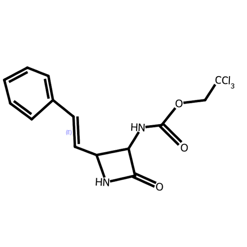 O=C(NC1C(=O)NC1/C=C/c1ccccc1)OCC(Cl)(Cl)Cl